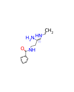 C=CN/C=C(\N)CCNC(=O)c1ccccc1